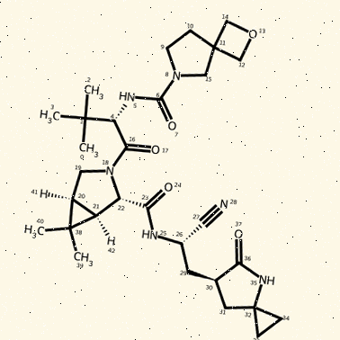 CC(C)(C)[C@H](NC(=O)N1CCC2(COC2)C1)C(=O)N1C[C@H]2[C@@H]([C@H]1C(=O)N[C@H](C#N)C[C@@H]1CC3(CC3)NC1=O)C2(C)C